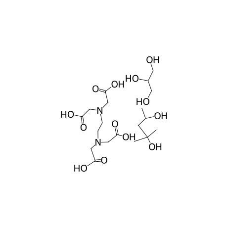 CC(O)CC(C)(C)O.O=C(O)CN(CCN(CC(=O)O)CC(=O)O)CC(=O)O.OCC(O)CO